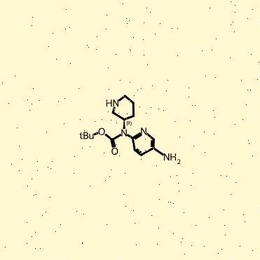 CC(C)(C)OC(=O)N(c1ccc(N)cn1)[C@@H]1CCCNC1